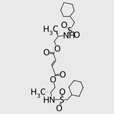 C[C@H](COC(=O)/C=C/C(=O)OC[C@@H](C)NS(=O)(=O)CC1CCCCC1)NS(=O)(=O)CC1CCCCC1